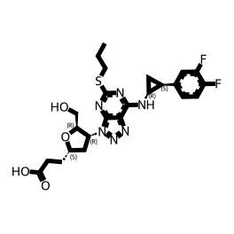 CCCSc1nc(N[C@@H]2C[C@H]2c2ccc(F)c(F)c2)c2nnn([C@@H]3C[C@H](CCC(=O)O)O[C@H]3CO)c2n1